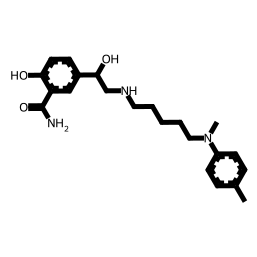 Cc1ccc(N(C)CCCCCNCC(O)c2ccc(O)c(C(N)=O)c2)cc1